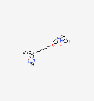 COc1cc2c(cc1OCCCCCCCCCCOc1ccc3nc(C)n(-c4ccc(F)cc4)c(=O)c3c1)N=C[C@@H]1CCCN1C2=O